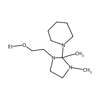 CCOCCN1CCN(C)C1(C)N1CCCCC1